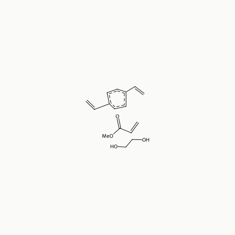 C=CC(=O)OC.C=Cc1ccc(C=C)cc1.OCCO